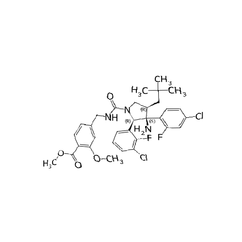 COC(=O)c1ccc(CNC(=O)N2C[C@@H](CC(C)(C)C)[C@](N)(c3ccc(Cl)cc3F)[C@H]2c2cccc(Cl)c2F)cc1OC